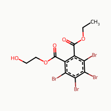 CCOC(=O)c1c(Br)c(Br)c(Br)c(Br)c1C(=O)OCCO